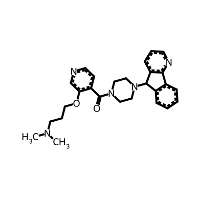 CN(C)CCCOc1cnccc1C(=O)N1CCN(C2c3ccccc3-c3ncccc32)CC1